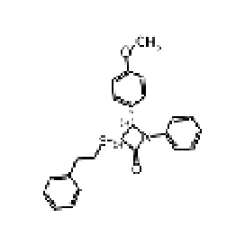 COc1ccc([C@H]2[C@H](SCCc3ccccc3)C(=O)N2c2ccccc2)cc1